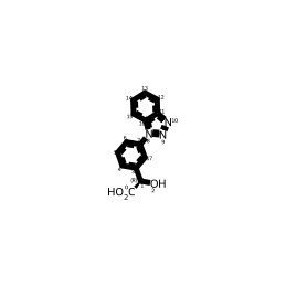 O=C(O)[C@H](O)c1cccc(-n2nnc3ccccc32)c1